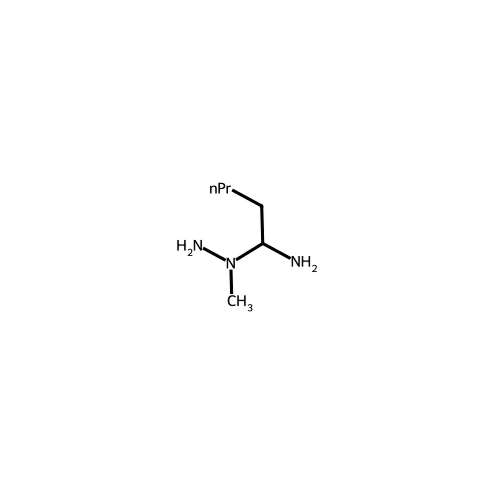 CCCCC(N)N(C)N